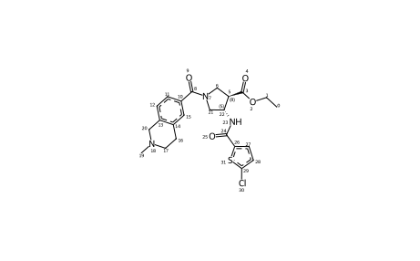 CCOC(=O)[C@@H]1CN(C(=O)c2ccc3c(c2)CCN(C)C3)C[C@H]1NC(=O)c1ccc(Cl)s1